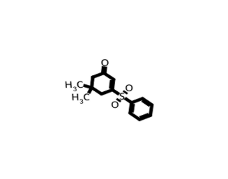 CC1(C)CC(=O)C=C(S(=O)(=O)c2ccccc2)C1